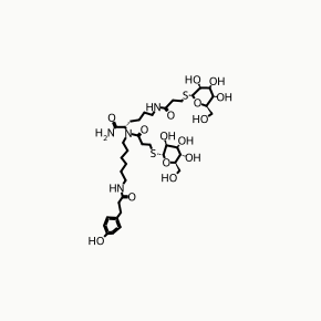 NC(=O)[C@H](CCCCNC(=O)CCS[C@H]1O[C@H](CO)[C@@H](O)[C@H](O)[C@@H]1O)N(CCCCCCNC(=O)CCc1ccc(O)cc1)C(=O)CCS[C@H]1O[C@H](CO)[C@@H](O)[C@H](O)[C@@H]1O